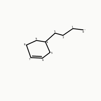 [CH2]CCCC1CC=CCC1